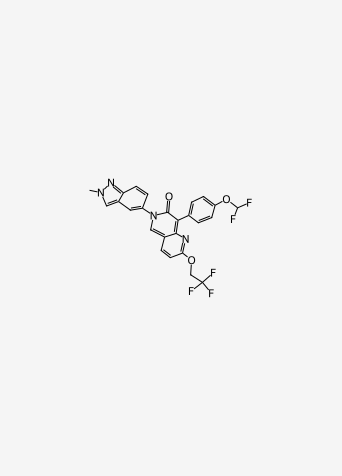 Cn1cc2cc(-n3cc4ccc(OCC(F)(F)F)nc4c(-c4ccc(OC(F)F)cc4)c3=O)ccc2n1